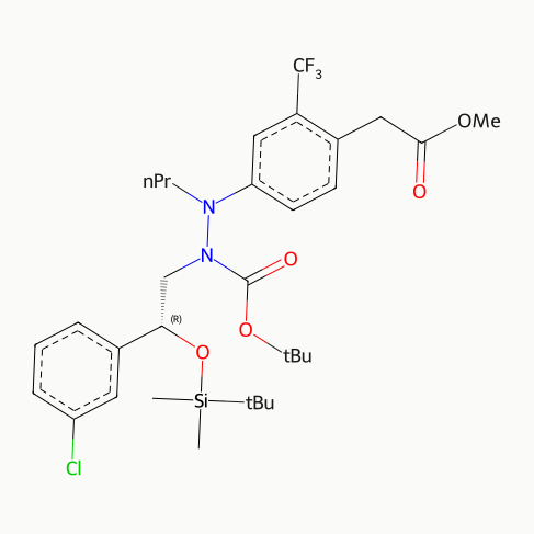 CCCN(c1ccc(CC(=O)OC)c(C(F)(F)F)c1)N(C[C@H](O[Si](C)(C)C(C)(C)C)c1cccc(Cl)c1)C(=O)OC(C)(C)C